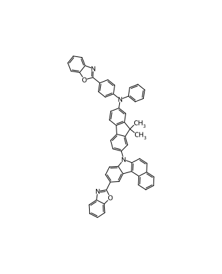 CC1(C)c2cc(N(c3ccccc3)c3ccc(-c4nc5ccccc5o4)cc3)ccc2-c2ccc(-n3c4ccc(-c5nc6ccccc6o5)cc4c4c5ccccc5ccc43)cc21